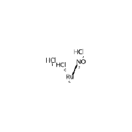 Cl.Cl.Cl.O=[N][Ru]